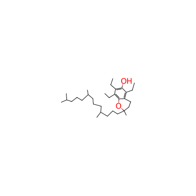 CCc1c(O)c(CC)c2c(c1CC)OC(C)(CCCC(C)CCCC(C)CCCC(C)C)CC2